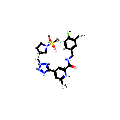 COc1cc(CNC(=O)c2cc(-c3nnn(C[C@@H]4CCN(S(C)(=O)=O)C4)n3)cc(C)n2)ccc1F